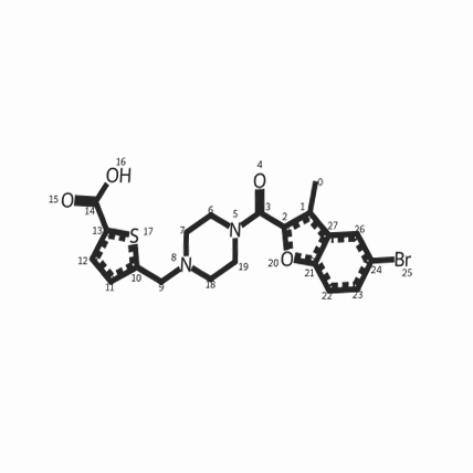 Cc1c(C(=O)N2CCN(Cc3ccc(C(=O)O)s3)CC2)oc2ccc(Br)cc12